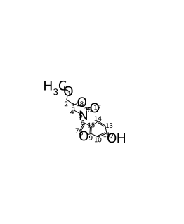 COCC1CN(c2coc3cc(O)ccc23)C(=O)O1